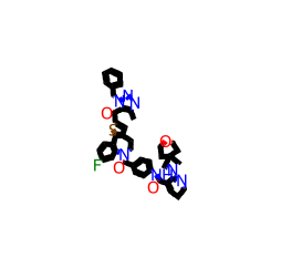 Cc1nnn(Cc2ccccc2)c1C(=O)c1cc2c(s1)-c1ccc(F)cc1N(C(=O)c1ccc(NC(=O)C3=CCCN=C3N3CC4(CCOCC4)C3)cc1)CC2